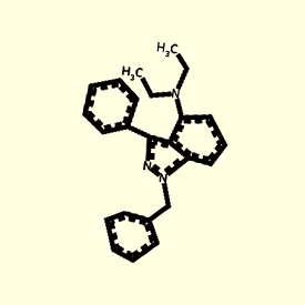 CCN(CC)c1cccc2c1c(-c1ccccc1)nn2Cc1ccccc1